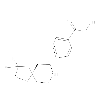 COC(=O)c1ccc([C@H]2C[C@@]3(CCN2)CCC(F)(F)C3)cc1